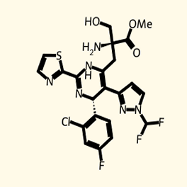 COC(=O)[C@@](N)(CO)CC1=C(c2ccn(C(F)F)n2)[C@H](c2ccc(F)cc2Cl)N=C(c2nccs2)N1